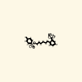 Cc1ccc(S(=O)(=O)OCCCCCCc2ccccc2C(=O)OC(C)(C)C)cc1